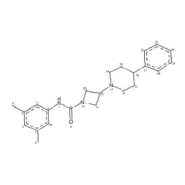 Cc1cc(C)cc(NC(=O)N2CC(N3CCC(c4ccccc4)CC3)C2)c1